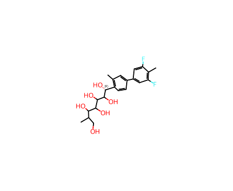 Cc1cc(-c2cc(F)c(C)c(F)c2)ccc1[C@@H](O)C(O)C(O)C(O)C(O)C(C)CO